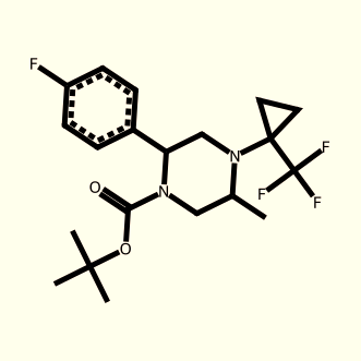 CC1CN(C(=O)OC(C)(C)C)C(c2ccc(F)cc2)CN1C1(C(F)(F)F)CC1